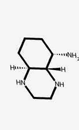 N[C@H]1CCC[C@@H]2NCCN[C@H]21